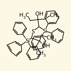 CCC(O)(CC)C(SC(C(O)(CC)CC)[Si](c1ccccc1)(c1ccccc1)c1ccccc1)[Si](c1ccccc1)(c1ccccc1)c1ccccc1